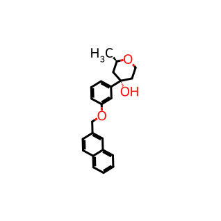 C[C@@H]1C[C@](O)(c2cccc(OCc3ccc4ccccc4c3)c2)CCO1